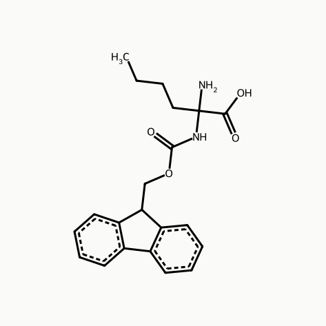 CCCCC(N)(NC(=O)OCC1c2ccccc2-c2ccccc21)C(=O)O